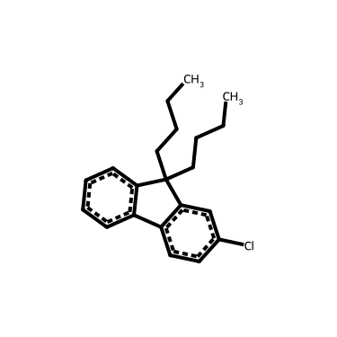 CCCCC1(CCCC)c2ccccc2-c2ccc(Cl)cc21